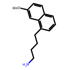 COc1ccc2cccc(CCCCN)c2c1